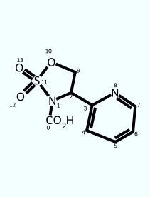 O=C(O)N1C(c2ccccn2)COS1(=O)=O